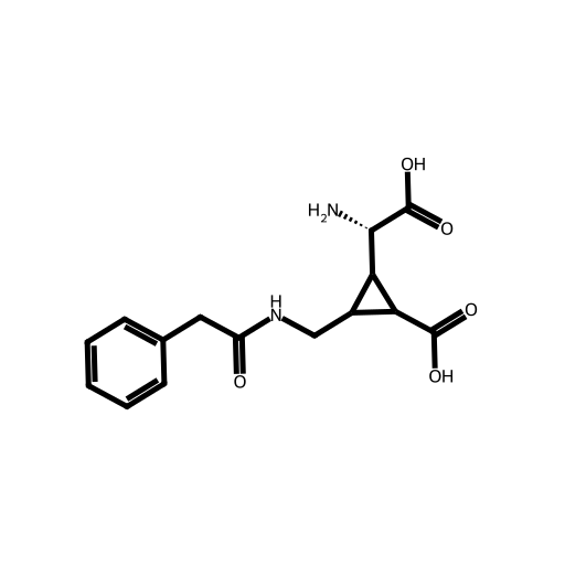 N[C@H](C(=O)O)C1C(CNC(=O)Cc2ccccc2)C1C(=O)O